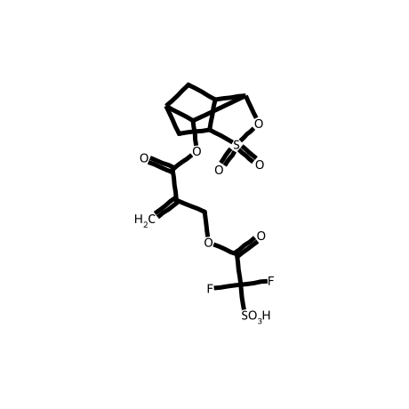 C=C(COC(=O)C(F)(F)S(=O)(=O)O)C(=O)OC1C2CC3C1OS(=O)(=O)C3C2